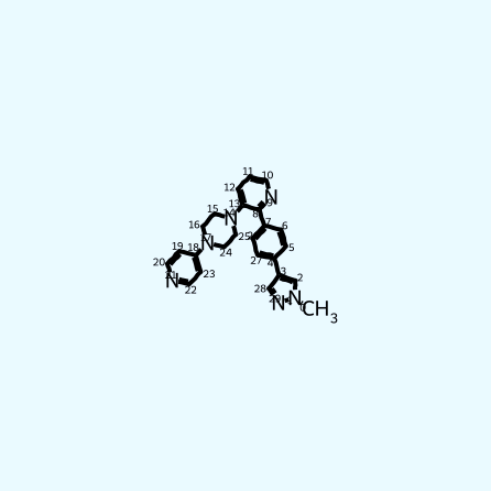 Cn1cc(-c2ccc(-c3ncccc3N3CCN(c4ccncc4)CC3)cc2)cn1